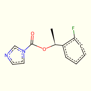 C[C@H](OC(=O)n1ccnc1)c1ccccc1F